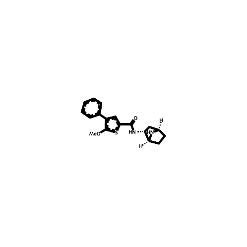 COc1sc(C(=O)N[C@@H]2C[C@H]3CC[C@@H]2N3)cc1-c1ccccc1